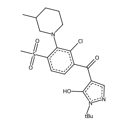 CC1CCCN(c2c(S(C)(=O)=O)ccc(C(=O)c3cnn(C(C)(C)C)c3O)c2Cl)C1